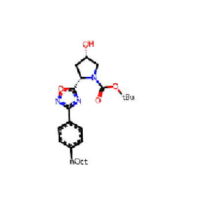 CCCCCCCCc1ccc(-c2noc([C@@H]3C[C@H](O)CN3C(=O)OC(C)(C)C)n2)cc1